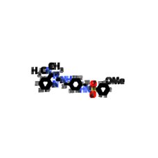 COc1cccc(S(=O)(=O)NC[C@H]2CC[C@H](CNc3nc(N(C)C)c4ccccc4n3)CC2)c1